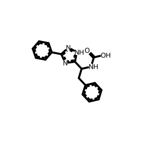 O=C(O)NC(Cc1ccccc1)c1nc(-c2ccccc2)n[nH]1